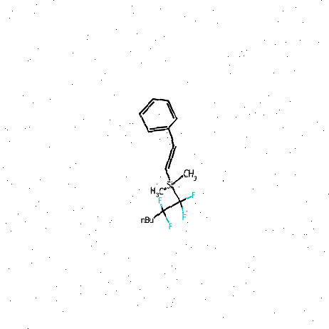 CCCCC(F)(F)C(F)(F)[Si](C)(C)C=Cc1ccccc1